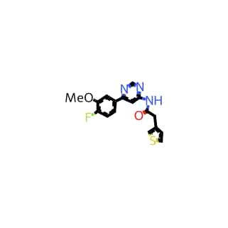 COc1cc(-c2cc(NC(=O)Cc3ccsc3)ncn2)ccc1F